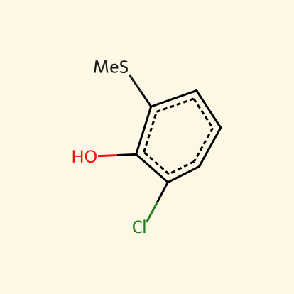 CSc1cccc(Cl)c1O